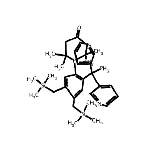 CC1(C)CC(=O)CC(C)(C)P1c1cc(C[Si](C)(C)C)c(C[Si](C)(C)C)cc1C(P)(c1cccnc1)c1cccnc1